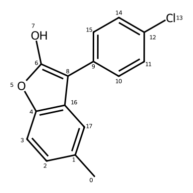 Cc1ccc2oc(O)c(-c3ccc(Cl)cc3)c2c1